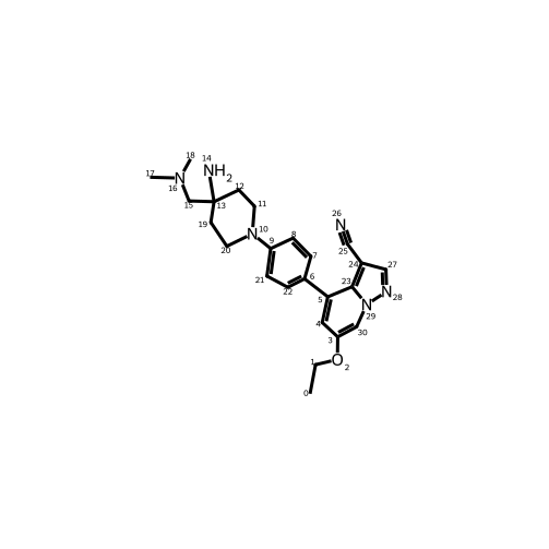 CCOc1cc(-c2ccc(N3CCC(N)(CN(C)C)CC3)cc2)c2c(C#N)cnn2c1